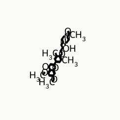 COc1cc(OC)c2c(=O)cc(-c3cc(C)c(OC[C@H](O)CN4CCN(C(C)=O)CC4)c(C)c3)oc2c1